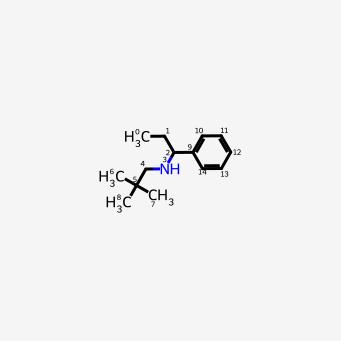 CCC(NCC(C)(C)C)c1ccccc1